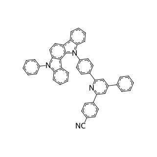 N#Cc1ccc(-c2cc(-c3ccccc3)cc(-c3ccc(-n4c5ccccc5c5ccc6c(c7ccccc7n6-c6ccccc6)c54)cc3)n2)cc1